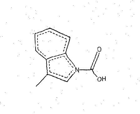 Cc1cn(C(=O)O)c2cc[c]cc12